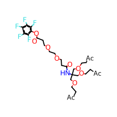 CC(=O)CCOCC(COCCC(C)=O)(COCCC(C)=O)NC(=O)CCOCCOCCC(=O)Oc1c(F)c(F)c(F)c(F)c1F